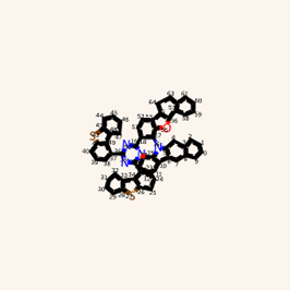 c1ccc2cc3c(cc2c1)c1ccccc1n3-c1c(-c2nc(-c3cccc4sc5ccccc5c34)nc(-c3cccc4sc5ccccc5c34)n2)ccc2c1oc1c3ccccc3ccc21